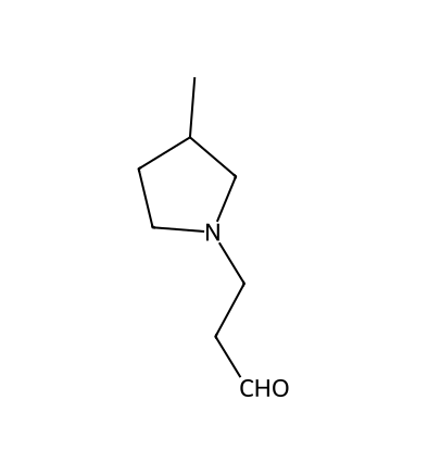 CC1CCN(CCC=O)C1